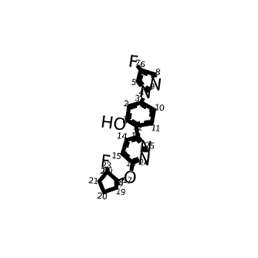 Oc1cc(-n2cc(F)cn2)ccc1-c1ccc(O[C@H]2CCC[C@H]2F)nn1